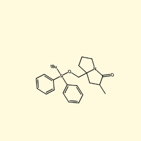 CC1CC2(CO[Si](c3ccccc3)(c3ccccc3)C(C)(C)C)CCCN2C1=O